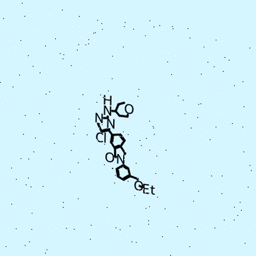 CCOCc1cc[c]c(N2Cc3ccc(-c4nc(NC5CCOCC5)ncc4Cl)cc3C2=O)c1